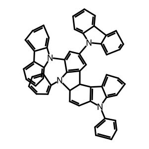 C1=CC2C(c3cc(-n4c5ccccc5c5ccccc54)cc(-n4c5ccccc5c5ccccc54)c3N2c2ccccc2)c2c1n(-c1ccccc1)c1ccccc21